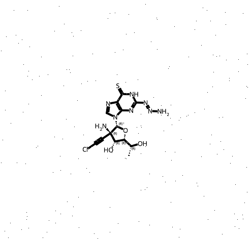 C[C@@H](O)[C@H]1O[C@@H](n2cnc3c(=S)[nH]c(N=NN)nc32)[C@@](N)(C#CCl)[C@H]1O